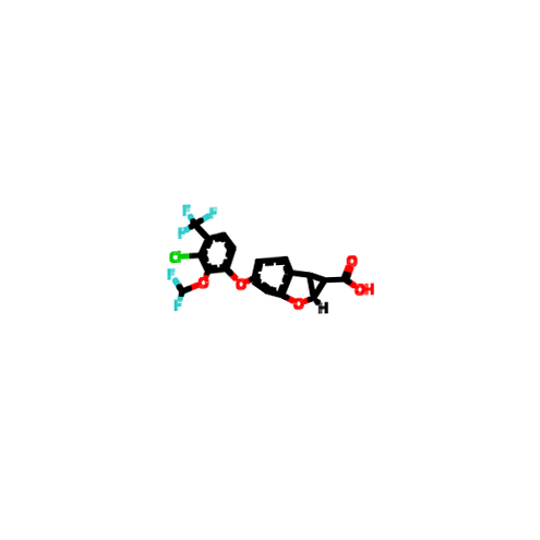 O=C(O)C1C2c3ccc(Oc4ccc(C(F)(F)F)c(Cl)c4OC(F)F)cc3O[C@@H]12